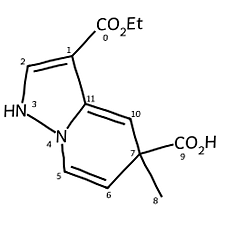 CCOC(=O)C1=CNN2C=CC(C)(C(=O)O)C=C12